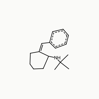 CC(C)(C)NC1CCCCC1=Cc1ccccc1